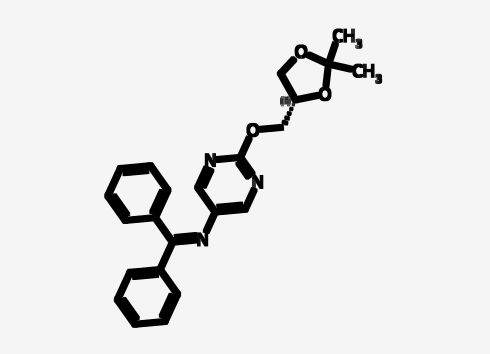 CC1(C)OC[C@@H](COc2ncc(N=C(c3ccccc3)c3ccccc3)cn2)O1